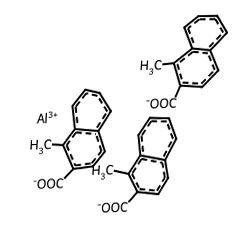 Cc1c(C(=O)[O-])ccc2ccccc12.Cc1c(C(=O)[O-])ccc2ccccc12.Cc1c(C(=O)[O-])ccc2ccccc12.[Al+3]